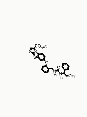 CCOC(=O)c1cnc2sc3cc(Oc4ccccc4CNC(=O)NC(CO)c4ccccc4)ccc3n12